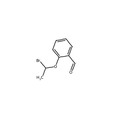 CC(Br)Oc1ccccc1[C]=O